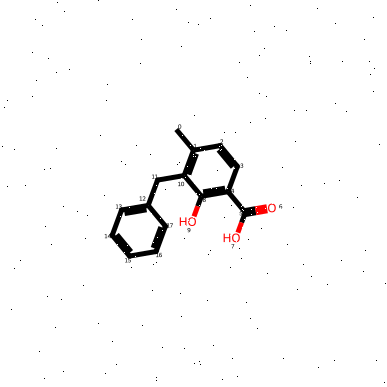 Cc1ccc(C(=O)O)c(O)c1Cc1ccccc1